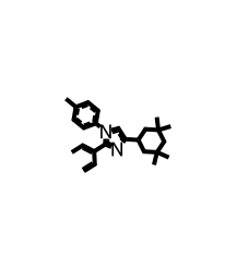 C=C/C(=C\C)c1nc(C2CC(C)(C)CC(C)(C)C2)cn1-c1ccc(C)cc1